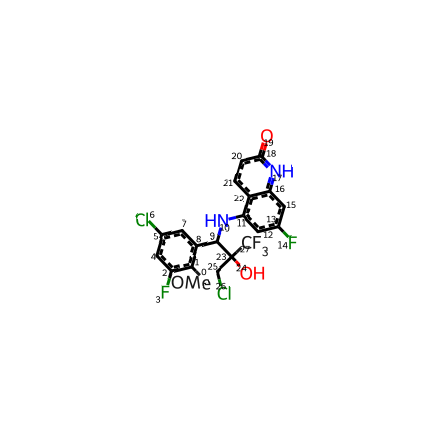 COc1c(F)cc(Cl)cc1C(Nc1cc(F)cc2[nH]c(=O)ccc12)C(O)(CCl)C(F)(F)F